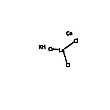 [Ce].[Cl][La]([Cl])[Cl].[KH]